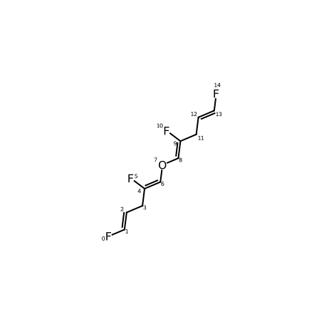 FC=CCC(F)=COC=C(F)CC=CF